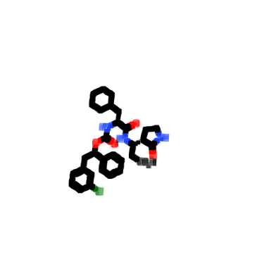 O=C(O)CC(NC(=O)[C@H](CC1CCCCC1)NC(=O)OC(Cc1cccc(Cl)c1)c1ccccc1)[C@@H]1CCNC1=O